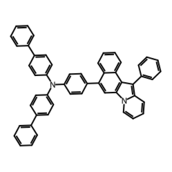 c1ccc(-c2ccc(N(c3ccc(-c4ccccc4)cc3)c3ccc(-c4cc5c(c(-c6ccccc6)c6ccccn65)c5ccccc45)cc3)cc2)cc1